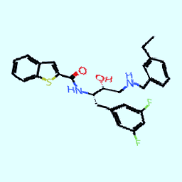 CCc1cccc(CNC[C@@H](O)[C@H](Cc2cc(F)cc(F)c2)NC(=O)c2cc3ccccc3s2)c1